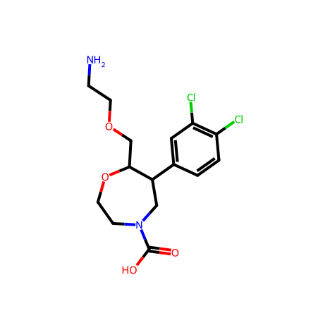 NCCOCC1OCCN(C(=O)O)CC1c1ccc(Cl)c(Cl)c1